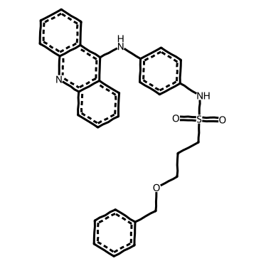 O=S(=O)(CCCOCc1ccccc1)Nc1ccc(Nc2c3ccccc3nc3ccccc23)cc1